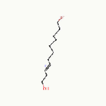 OCC/C=C/CCCCCCCBr